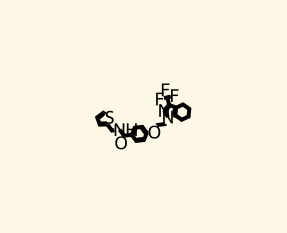 O=C(NCc1cccs1)c1ccc(OCCn2nc(C(F)(F)F)c3c2CCCC3)cc1